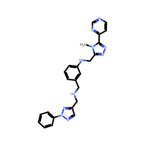 Cn1c(CNc2cccc(CNCc3cnn(-c4ccccc4)n3)c2)nnc1-c1ccncn1